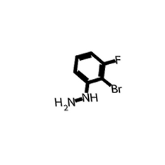 NNc1cccc(F)c1Br